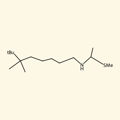 CSC(C)NCCCCCC(C)(C)C(C)(C)C